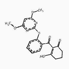 COc1cc(OC)nc(Oc2ccccc2C(=O)C2=C(O)CCCC2=O)n1